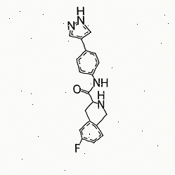 O=C(Nc1ccc(-c2cn[nH]c2)cc1)C1Cc2cc(F)ccc2CN1